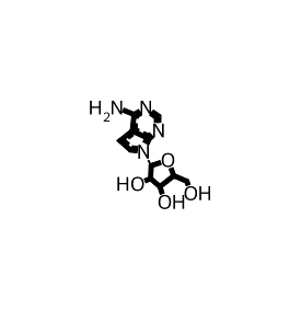 Nc1ncnc2c1ccn2[C@@H]1OC(CO)C(O)C1O